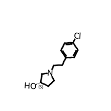 O[C@H]1CCN(CCc2ccc(Cl)cc2)C1